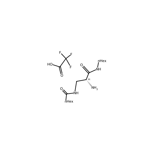 CCCCCCNC(=O)[C@H](N)CNC(=O)CCCCCC.O=C(O)C(F)(F)F